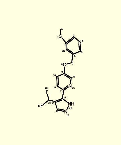 CSc1cncc(COc2ccc(-c3[nH]ncc3C(F)F)nc2)c1